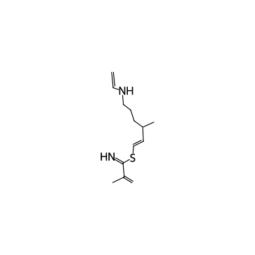 C=CNCCCC(C)/C=C/SC(=N)C(=C)C